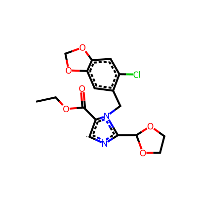 CCOC(=O)c1[c]nc(C2OCCO2)n1Cc1cc2c(cc1Cl)OCO2